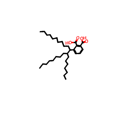 CCCCCCCCCCC(c1cccc(C(=O)O)c1C(=O)O)C(CCCCCCC)CCCCCCCC